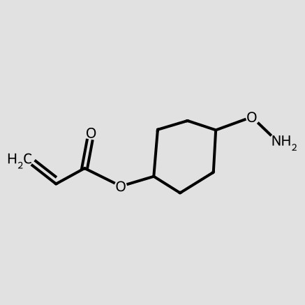 C=CC(=O)OC1CCC(ON)CC1